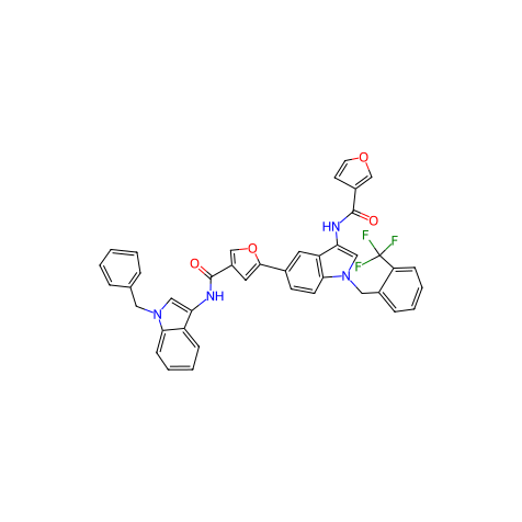 O=C(Nc1cn(Cc2ccccc2)c2ccccc12)c1coc(-c2ccc3c(c2)c(NC(=O)c2ccoc2)cn3Cc2ccccc2C(F)(F)F)c1